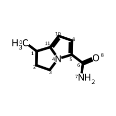 CC1CCn2c(C(N)=O)ccc21